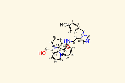 N#Cc1ccc(Cn2cncc2CCNC(=O)[C@H]2CCCN(CCO)C2(c2ccccc2)c2ccccn2)cc1